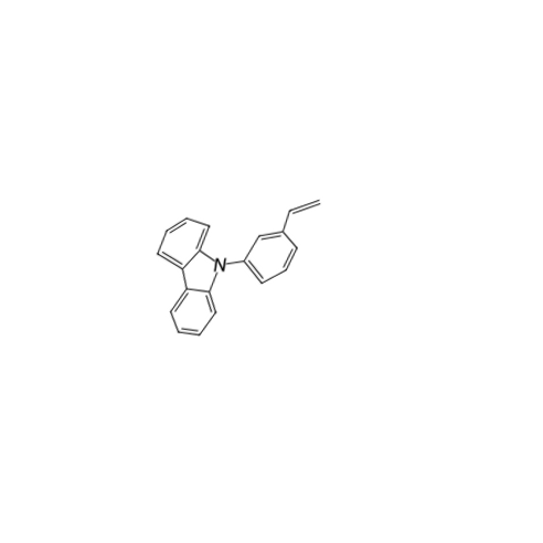 C=Cc1cccc(-n2c3ccccc3c3ccccc32)c1